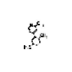 Cc1cc(C2CC(C)CCC2C)ccn1